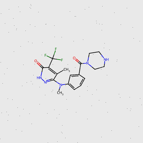 Cc1c(N(C)c2cccc(C(=O)N3CCNCC3)c2)n[nH]c(=O)c1C(F)(F)F